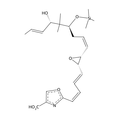 C/C=C/[C@H](O)C(C)(C)[C@H](C/C=C\[C@H]1O[C@H]1/C=C/C=C\c1nc(C(=O)O)co1)O[Si](C)(C)C